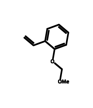 C=Cc1ccccc1OCOC